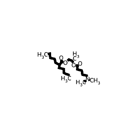 CCCCCC(CCCCC)C(=O)OCC(C)OC(=O)CCCCN(C)C